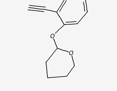 C#Cc1ccccc1OC1CCCCO1